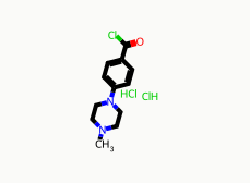 CN1CCN(c2ccc(C(=O)Cl)cc2)CC1.Cl.Cl